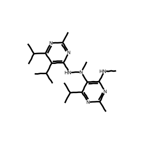 CNc1nc(C)nc(C(C)C)c1N(C)Nc1nc(C)nc(C(C)C)c1C(C)C